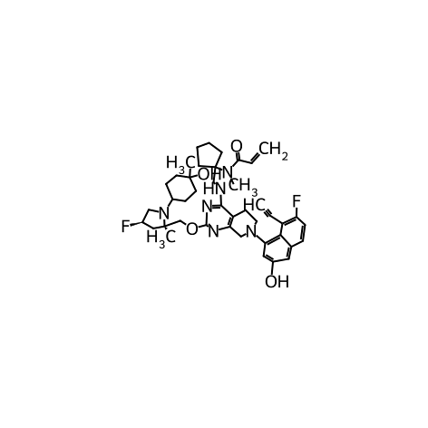 C#Cc1c(F)ccc2cc(O)cc(N3CCc4c(nc(OC[C@]5(C)C[C@@H](F)CN5C5CCC(C)(O)CC5)nc4NCC4(N(C)C(=O)C=C)CCCC4)C3)c12